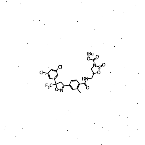 Cc1cc(C2=NOC(c3cc(Cl)cc(Cl)c3)(C(F)(F)F)C2)ccc1C(=O)NCC1CN(C(=O)OC(C)(C)C)S(=O)O1